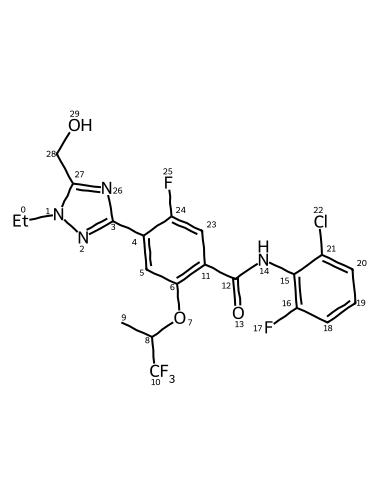 CCn1nc(-c2cc(OC(C)C(F)(F)F)c(C(=O)Nc3c(F)cccc3Cl)cc2F)nc1CO